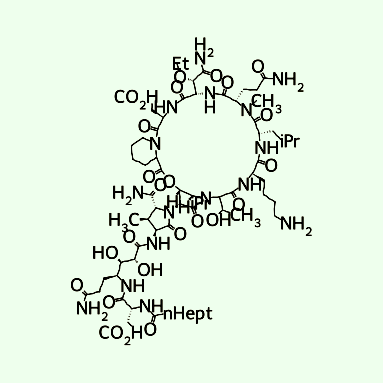 CCCCCCCC(=O)N[C@H](CC(=O)O)C(=O)N[C@@H](CCC(N)=O)[C@@H](O)[C@@H](O)C(=O)N[C@@H]1C(=O)N([C@H]2C(=O)N3C(C(C)O)C(=O)N[C@H](CCCCN)C(=O)N[C@@H](CC(C)C)C(=O)N(C)[C@@H](CCC(N)=O)C(=O)N[C@@H]([C@H](OCC)C(N)=O)C(=O)N[C@H](CC(=O)O)C(=O)N4CCCCC4C(=O)O[C@@H]2[C@H]3C(C)C)[C@@H](C(N)=O)[C@@H]1C